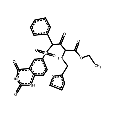 CCOC(=O)C(NCc1cccs1)C(=O)C(c1ccccc1)S(=O)(=O)c1ccc2[nH]c(=O)[nH]c(=O)c2c1